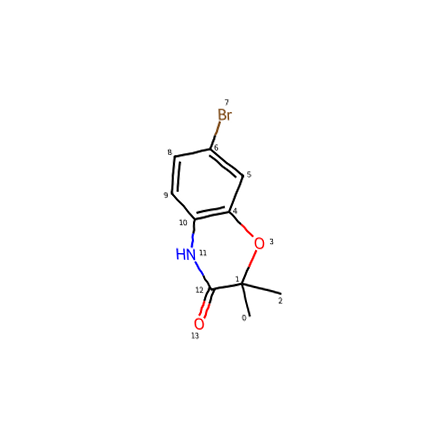 CC1(C)Oc2cc(Br)ccc2NC1=O